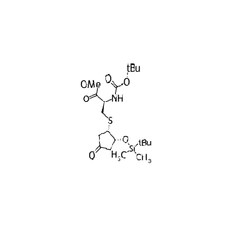 COC(=O)[C@H](CS[C@H]1CC(=O)C[C@H]1O[Si](C)(C)C(C)(C)C)NC(=O)OC(C)(C)C